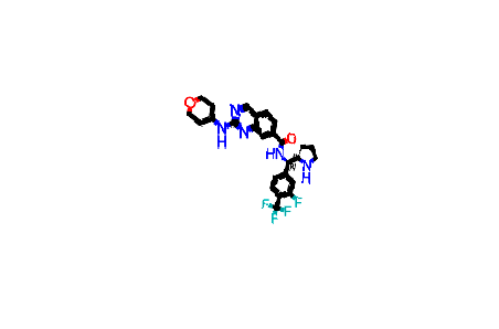 O=C(N[C@H](c1ccc(C(F)(F)F)c(F)c1)[C@@H]1CCCN1)c1ccc2cnc(NC3CCOCC3)nc2c1